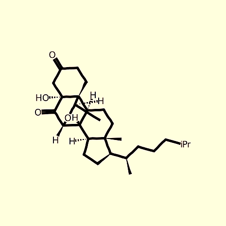 CC(C)CCC[C@@H](C)[C@H]1CC[C@H]2[C@@H]3[C@H]4O[C@H](C)[C@@]5(CCC(=O)C[C@]5(O)C4=O)[C@H]3CC[C@]12C